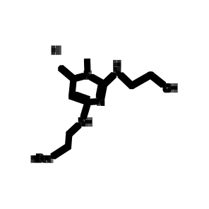 CCCCCCCCCCCCNC1=CC(C)N(C)C(NCCO)=N1.I